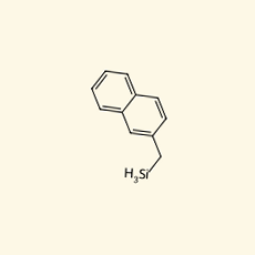 [SiH3]Cc1ccc2ccccc2c1